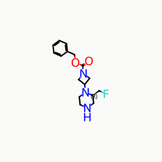 O=C(OCc1ccccc1)N1CC(N2CCNC[C@@H]2CF)C1